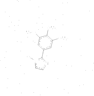 COc1cc(-c2ncc[s+]2[O-])cc(OC)c1OC